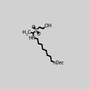 CCCCCCCCCCCCCCCCCCNC(C)S(=O)(=O)CCO